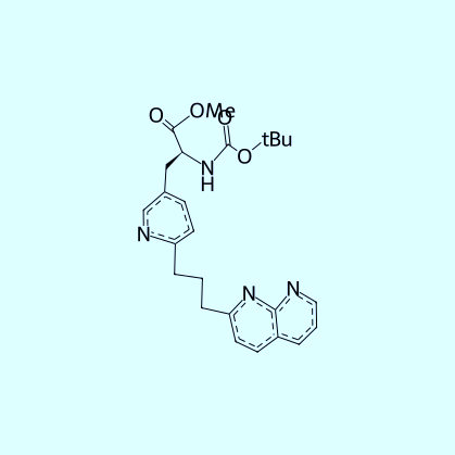 COC(=O)[C@H](Cc1ccc(CCCc2ccc3cccnc3n2)nc1)NC(=O)OC(C)(C)C